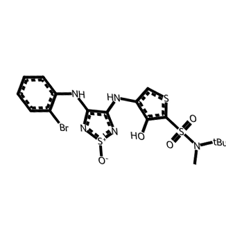 CN(C(C)(C)C)S(=O)(=O)c1scc(Nc2n[s+]([O-])nc2Nc2ccccc2Br)c1O